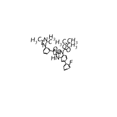 Cc1cn(-c2cccc(C(=O)CC(=O)Nc3cc(-c4ccccc4F)ccc3NC(=O)OC(C)(C)C)c2)c(C)n1